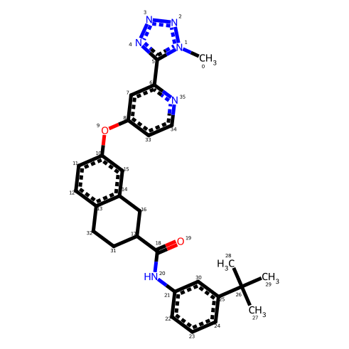 Cn1nnnc1-c1cc(Oc2ccc3c(c2)CC(C(=O)Nc2cccc(C(C)(C)C)c2)CC3)ccn1